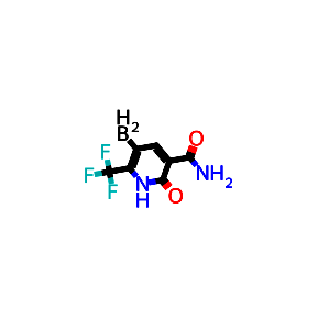 Bc1cc(C(N)=O)c(=O)[nH]c1C(F)(F)F